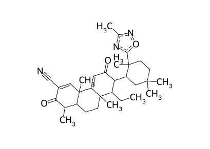 CCC1C(C2CC(C)(C)CCC2(C)c2nc(C)no2)C(=O)C=C2C3(C)C=C(C#N)C(=O)C(C)C3CCC21C